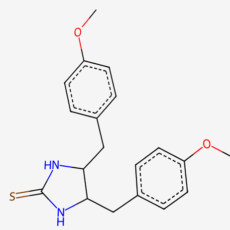 COc1ccc(CC2NC(=S)NC2Cc2ccc(OC)cc2)cc1